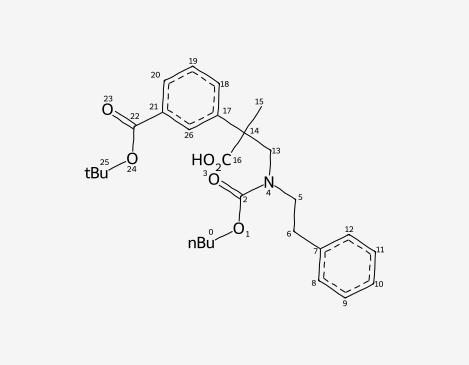 CCCCOC(=O)N(CCc1ccccc1)CC(C)(C(=O)O)c1cccc(C(=O)OC(C)(C)C)c1